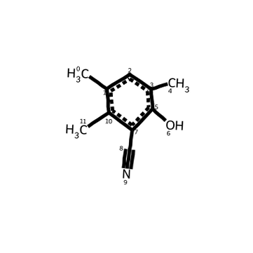 Cc1cc(C)c(O)c(C#N)c1C